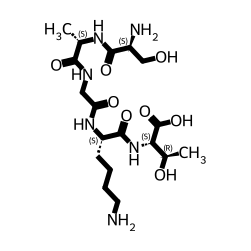 C[C@H](NC(=O)[C@@H](N)CO)C(=O)NCC(=O)N[C@@H](CCCCN)C(=O)N[C@H](C(=O)O)[C@@H](C)O